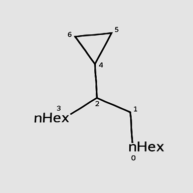 [CH2]CCCCCCC(CCCCCC)C1CC1